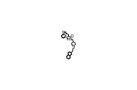 O=C(NCC1CCN(CCCc2ccc3ccccc3c2)CC1)C1=Cc2cnc3cccc(n23)S1